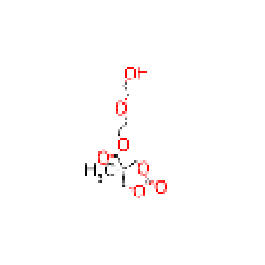 CC1(C(=O)OCCOCCO)COC(=O)OC1